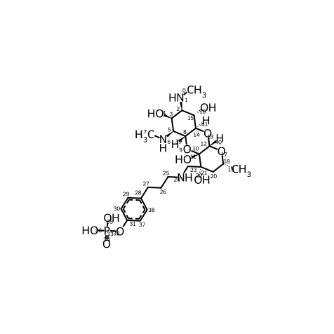 CN[C@@H]1[C@H](O)[C@H](NC)[C@H]2O[C@]3(O)[C@H](O[C@@H]2[C@H]1O)O[C@H](C)C[C@@]3(O)CNCCCc1ccc(OP(=O)(O)O)cc1